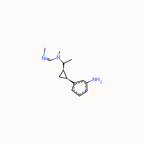 C/N=C\N(C)C(C)[C@@H]1C[C@@H]1c1cccc(N)c1